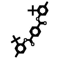 Cc1ccc(OC(=O)c2ccc(C(=O)Oc3ccc(C)cc3C(C)(C)C)cc2)c(C(C)(C)C)c1